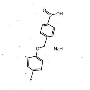 O=S(O)c1ccc(COc2ccc(F)cc2)cc1.[NaH]